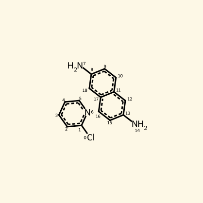 Clc1ccccn1.Nc1ccc2cc(N)ccc2c1